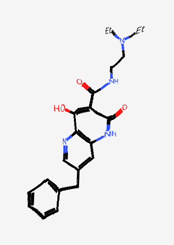 CCN(CC)CCNC(=O)c1c(O)c2ncc(Cc3ccccc3)cc2[nH]c1=O